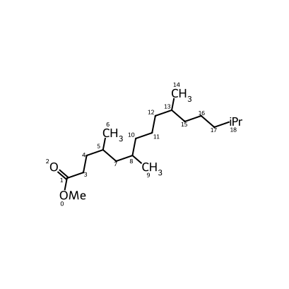 COC(=O)CCC(C)CC(C)CCCC(C)CCCC(C)C